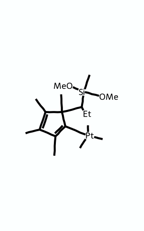 CCC(C1(C)C(C)=C(C)C(C)=[C]1[Pt]([CH3])([CH3])[CH3])[Si](C)(OC)OC